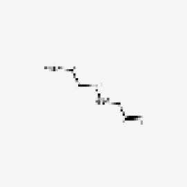 C=CCNOCCNC